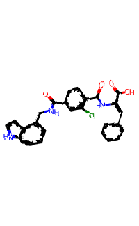 O=C(O)/C(=C/c1ccccc1)NC(=O)c1ccc(C(=O)NCc2cccc3[nH]ccc23)cc1Cl